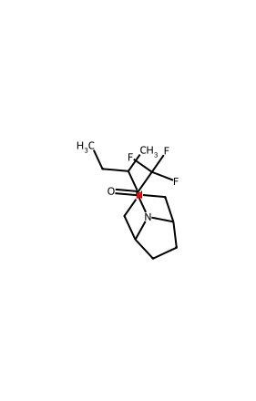 CCC(C)N1CC2CCC(C1)N2C(=O)C(F)(F)F